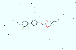 CCCC1(F)COC(COc2ccc(-c3ccc(CC)c(F)c3F)cc2)OC1